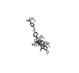 CNc1ccc(SCc2ccc([C@@H]3O[C@@H]4C[C@H]5[C@@H]6C[C@H](F)C7=CC(=O)C=C[C@]7(C)[C@@]6(F)[C@@H](O)C[C@]5(C)[C@]4(C(=O)CO)O3)cc2)cc1